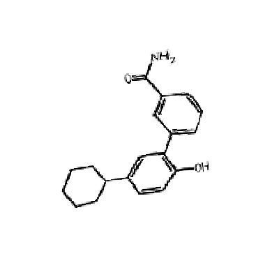 NC(=O)c1cccc(-c2cc(C3CCCCC3)ccc2O)c1